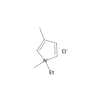 CC[N+]1(C)C=CC(C)=C1.[Cl-]